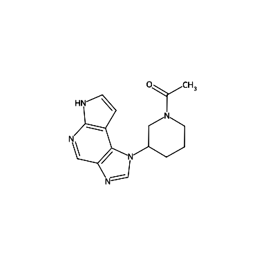 CC(=O)N1CCCC(n2cnc3cnc4[nH]ccc4c32)C1